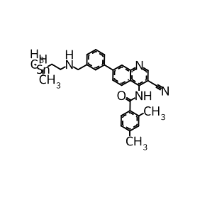 Cc1ccc(C(=O)Nc2c(C#N)cnc3cc(-c4cccc(CNC[CH2][SnH]([CH3])[CH3])c4)ccc23)c(C)c1